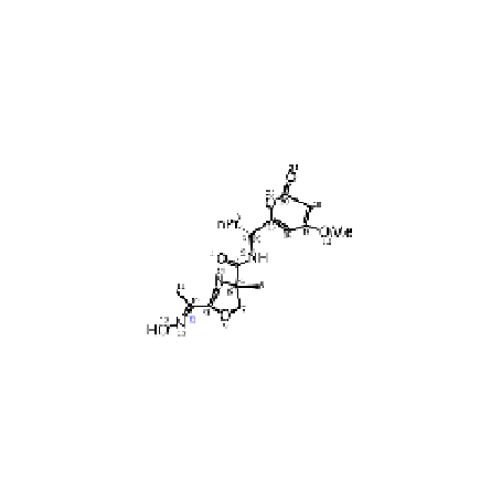 CCC[C@@H](NC(=O)[C@]1(C)COC(/C(C)=N/O)=N1)c1cc(OC)cc(=O)o1